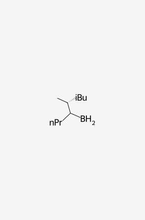 BC(CCC)[C@H](C)C(C)CC